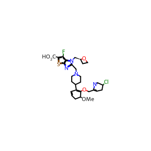 COC1CC=CC(C2CCN(Cc3nc4sc(C(=O)O)c(F)c4n3C[C@@H]3CCO3)CC2)=C1OCC1=CCC(Cl)C=N1